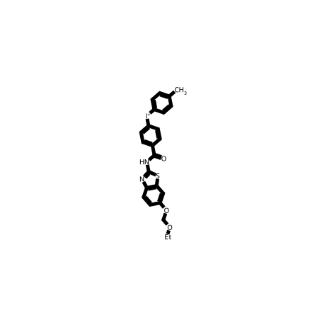 CCOCOc1ccc2nc(NC(=O)c3ccc([I+]c4ccc(C)cc4)cc3)sc2c1